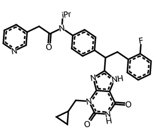 CC(C)N(C(=O)Cc1cccnc1)c1ccc(C(Cc2ccccc2F)c2nc3c([nH]2)c(=O)[nH]c(=O)n3CC2CC2)cc1